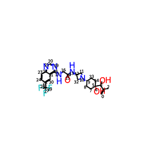 C=C(C)C(O)[C@]1(O)CC[C@H](N2CC(NC(=O)CNc3ncnc4ccc(C(F)(F)F)cc34)C2)CC1